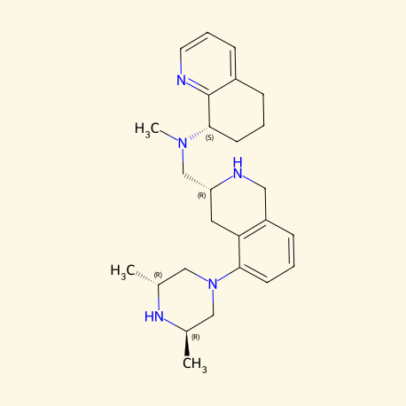 C[C@@H]1CN(c2cccc3c2C[C@H](CN(C)[C@H]2CCCc4cccnc42)NC3)C[C@@H](C)N1